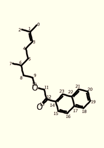 CC(C)=CCCC(C)CCOCC(=O)c1ccc2ccccc2c1